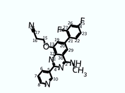 CNc1nc(-c2cccnc2)nc2c(OCCC#N)cc(-c3ccc(F)cc3F)cc12